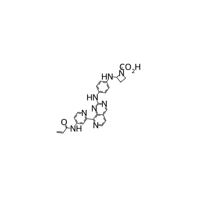 C=CC(=O)Nc1ccnc(-c2nccc3cnc(Nc4ccc(NC5CCN5C(=O)O)cc4)nc23)c1